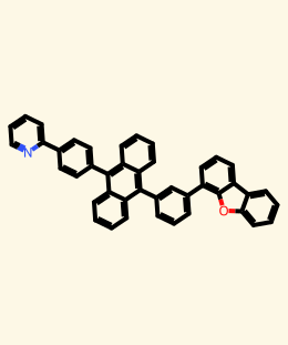 c1ccc(-c2ccc(-c3c4ccccc4c(-c4cccc(-c5cccc6c5oc5ccccc56)c4)c4ccccc34)cc2)nc1